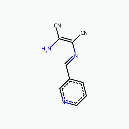 N#CC(N)=C(C#N)N=Cc1cccnc1